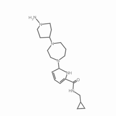 NN1CCC(N2CCCN(C3C=CC=C(C(=O)NCC4CC4)N3)CC2)CC1